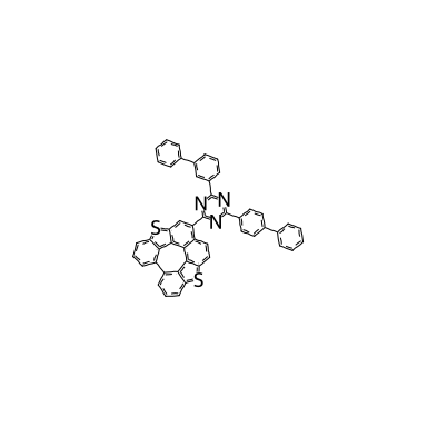 c1ccc(-c2ccc(-c3nc(-c4cccc(-c5ccccc5)c4)nc(-c4cc5sc6cccc7c6c5c5c4ccc4sc6cccc-7c6c45)n3)cc2)cc1